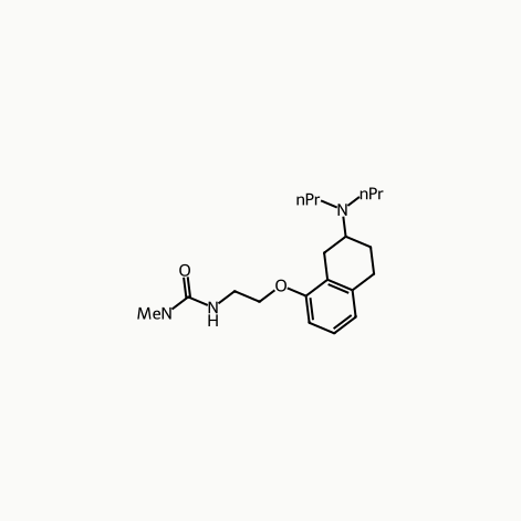 CCCN(CCC)C1CCc2cccc(OCCNC(=O)NC)c2C1